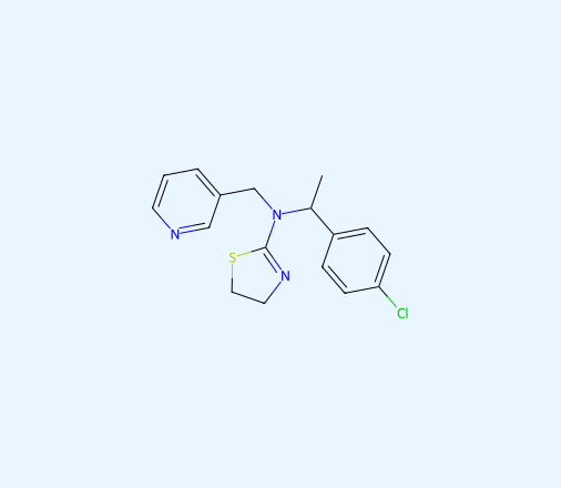 CC(c1ccc(Cl)cc1)N(Cc1cccnc1)C1=NCCS1